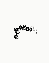 CN(C)c1ccc(NC(=O)c2cc(-c3cnn4cc(-c5cccnc5)cnc34)cs2)cc1